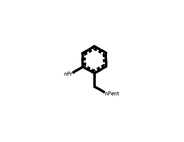 [CH2]CCc1ccccc1CCCCCC